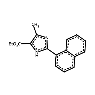 CCOC(=O)c1[nH]c(-c2cccc3ccccc23)nc1C